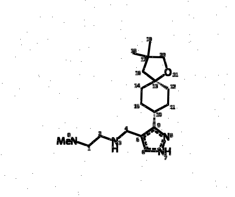 CNCCNCc1c[nH]nc1[C@H]1CC[C@]2(CC1)CC(C)(C)CO2